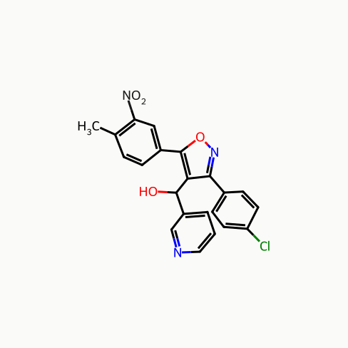 Cc1ccc(-c2onc(-c3ccc(Cl)cc3)c2C(O)c2cccnc2)cc1[N+](=O)[O-]